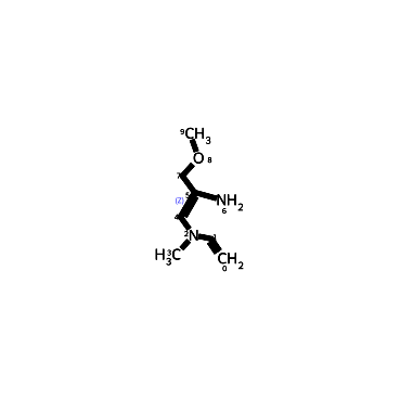 C=CN(C)/C=C(\N)COC